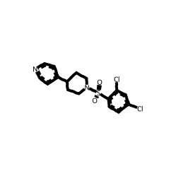 O=S(=O)(c1ccc(Cl)cc1Cl)N1CCC(c2ccncc2)CC1